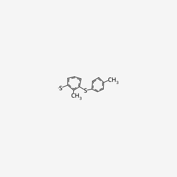 Cc1ccc(Sc2cccc([S])c2C)cc1